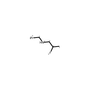 CC(C)CNCC(C)F